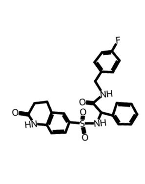 O=C1CCc2cc(S(=O)(=O)NC(C(=O)NCc3ccc(F)cc3)c3ccccc3)ccc2N1